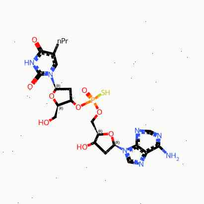 CCCc1cn([C@H]2CC(OP(=O)(S)OC[C@H]3O[C@@H](n4cnc5c(N)ncnc54)CC3O)[C@@H](CO)O2)c(=O)[nH]c1=O